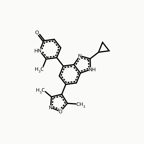 Cc1noc(C)c1-c1cc(-c2ccc(=O)[nH]c2C)c2nc(C3CC3)[nH]c2c1